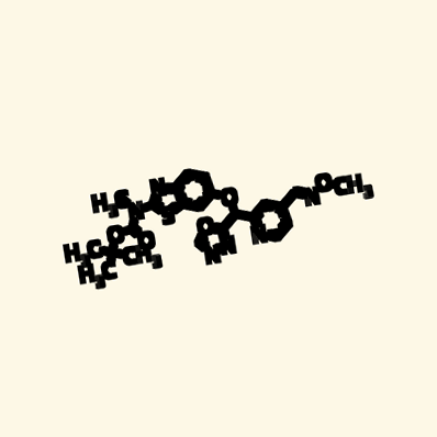 CO/N=C/c1ccnc(C(Oc2ccc3nc(N(C)C(=O)OC(C)(C)C)sc3c2)c2nnco2)c1